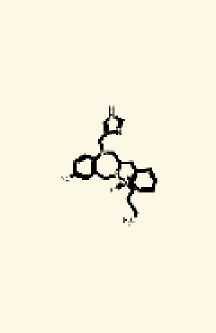 N#Cc1ccc2c(c1)CN(S(=O)(=O)CCCC(F)(F)F)[C@H](Cc1ccccc1)CN2Cc1c[nH]cn1